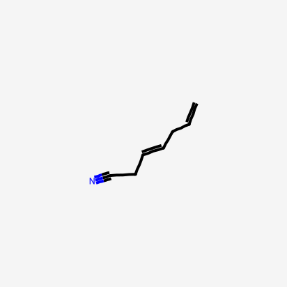 C=CCC=CCC#N